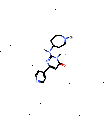 CCN(c1nc(-c2ccncc2)cc(=O)n1C)C1CCCN(C)CC1